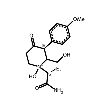 CC[C@H](C(N)=O)[N+]1(O)CCC(=O)[C@@H](c2ccc(OC)cc2)C1CO